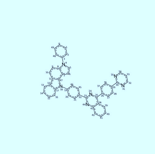 c1ccc(-n2ccc3c2ccc2c4ccccc4n(-c4ccc(-c5nc(-c6ccc(-c7ncccn7)cc6)c6ccccc6n5)cc4)c23)cc1